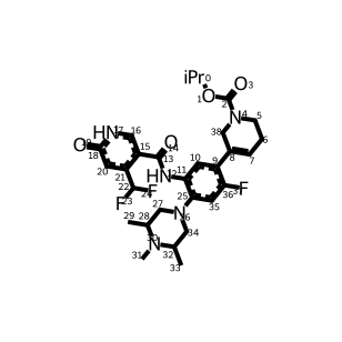 CC(C)OC(=O)N1CCC=C(c2cc(NC(=O)c3c[nH]c(=O)cc3C(F)F)c(N3CC(C)N(C)C(C)C3)cc2F)C1